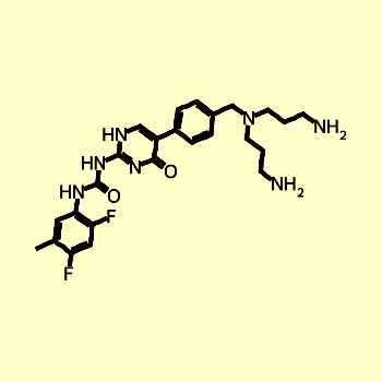 Cc1cc(NC(=O)Nc2nc(=O)c(-c3ccc(CN(CCCN)CCCN)cc3)c[nH]2)c(F)cc1F